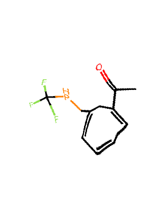 CC(=O)c1ccccc1PC(F)(F)F